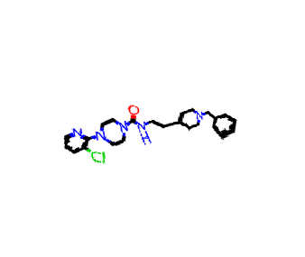 O=C(NCCC1CCN(Cc2ccccc2)CC1)N1CCN(c2ncccc2Cl)CC1